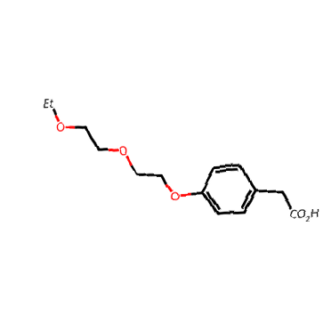 CCOCCOCCOc1ccc(CC(=O)O)cc1